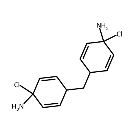 NC1(Cl)C=CC(CC2C=CC(N)(Cl)C=C2)C=C1